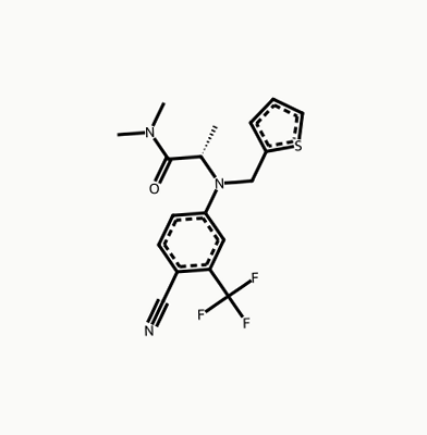 C[C@@H](C(=O)N(C)C)N(Cc1cccs1)c1ccc(C#N)c(C(F)(F)F)c1